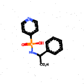 O=C(O)C(NP(=O)(O)c1ccncc1)c1ccccc1